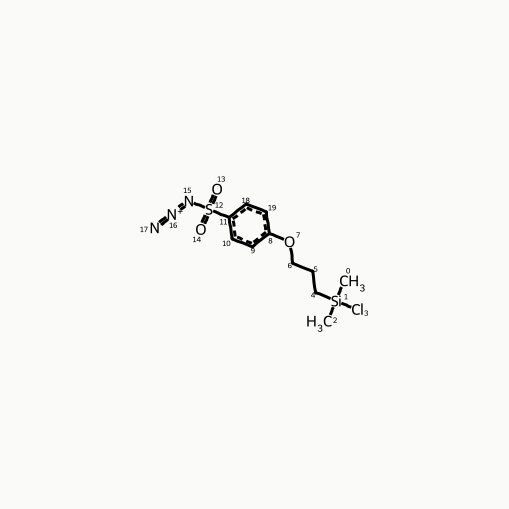 C[Si](C)(Cl)CCCOc1ccc(S(=O)(=O)N=[N+]=[N-])cc1